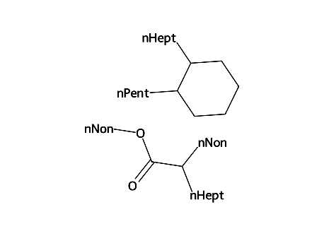 CCCCCCCC1CCCCC1CCCCC.CCCCCCCCCOC(=O)C(CCCCCCC)CCCCCCCCC